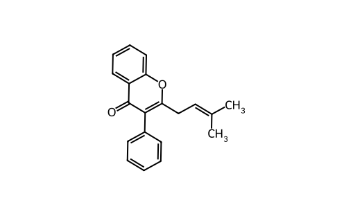 CC(C)=CCc1oc2ccccc2c(=O)c1-c1ccccc1